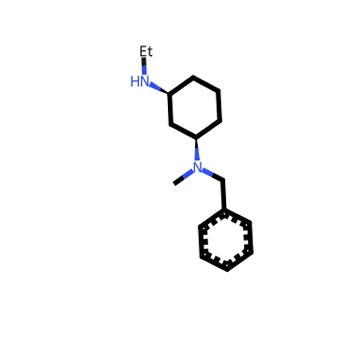 CCN[C@H]1CCC[C@@H](N(C)Cc2ccccc2)C1